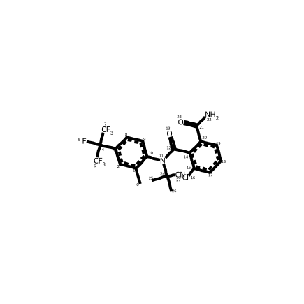 Cc1cc(C(F)(C(F)(F)F)C(F)(F)F)ccc1N(C(=O)c1c(Cl)cccc1C(N)=O)C(C)(C)C#N